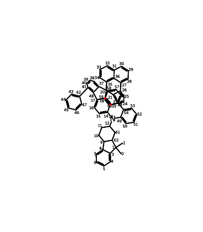 CC1(C)c2ccccc2C2CCC(N(c3ccc4c(c3)C3(c5ccccc5-c5cccc6cccc3c56)c3cccc(-c5ccccc5)c3-4)c3ccccc3-c3ccccc3)CC21